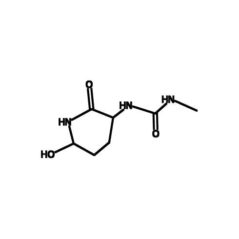 CNC(=O)NC1CCC(O)NC1=O